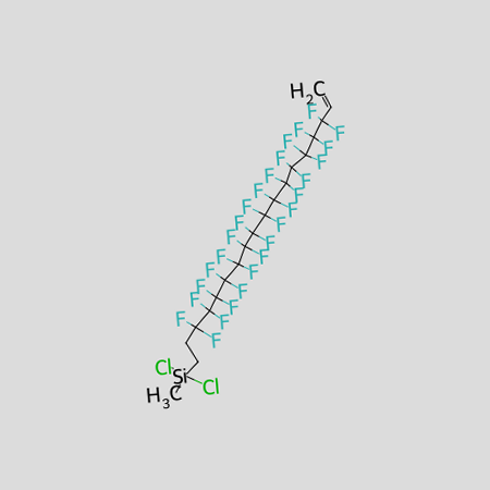 C=CC(F)(F)C(F)(F)C(F)(F)C(F)(F)C(F)(F)C(F)(F)C(F)(F)C(F)(F)C(F)(F)C(F)(F)C(F)(F)C(F)(F)C(F)(F)C(F)(F)CC[Si](C)(Cl)Cl